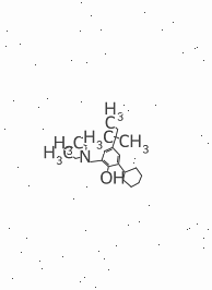 CCN(CC)Cc1cc(C(C)(C)CC)cc(C2CCCCC2)c1O